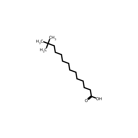 CC(C)(C)CCCCCCCCCCCC(=O)O